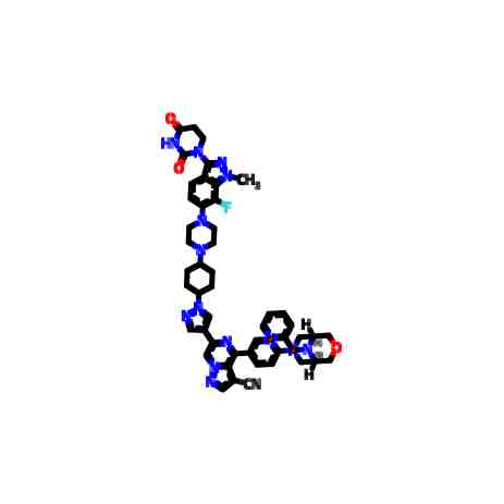 Cn1nc(N2CCC(=O)NC2=O)c2ccc(N3CCN(C4CCC(n5cc(-c6cn7ncc(C#N)c7c(-c7ccc(N8C[C@H]9COC[C@@H](C8)N9Cc8ccccn8)nc7)n6)cn5)CC4)CC3)c(F)c21